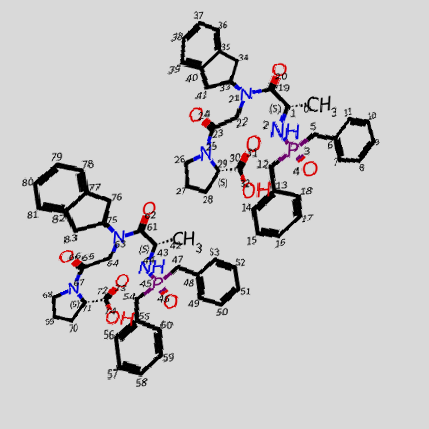 C[C@H](NP(=O)(Cc1ccccc1)Cc1ccccc1)C(=O)N(CC(=O)N1CCC[C@H]1C(=O)O)C1Cc2ccccc2C1.C[C@H](NP(=O)(Cc1ccccc1)Cc1ccccc1)C(=O)N(CC(=O)N1CCC[C@H]1C(=O)O)C1Cc2ccccc2C1